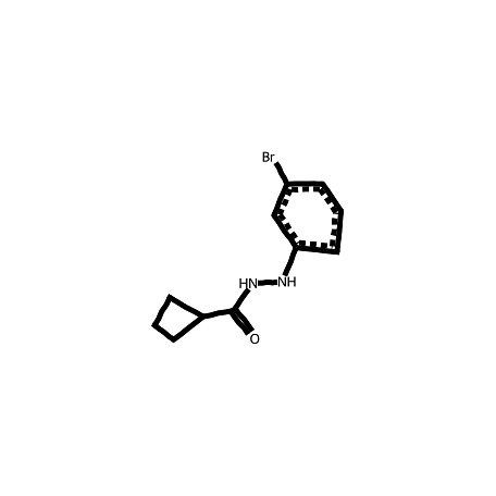 O=C(NNc1cccc(Br)c1)C1CCC1